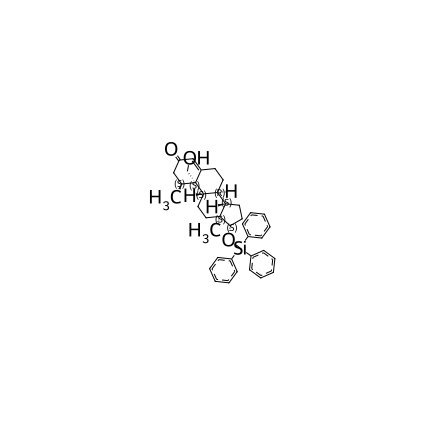 C[C@H]1CC(=O)C=C2CC[C@H]3[C@@H]4CC[C@H](O[Si](c5ccccc5)(c5ccccc5)c5ccccc5)[C@@]4(C)CC[C@@H]3[C@]21CO